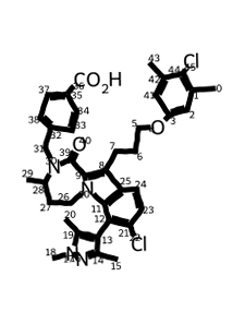 Cc1cc(OCCCc2c3n(c4c(-c5c(C)nn(C)c5C)c(Cl)ccc24)CCC(C)N(Cc2ccc(C(=O)O)cc2)C3=O)cc(C)c1Cl